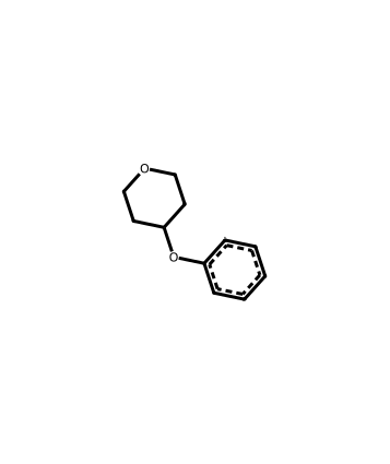 [c]1ccccc1OC1CCOCC1